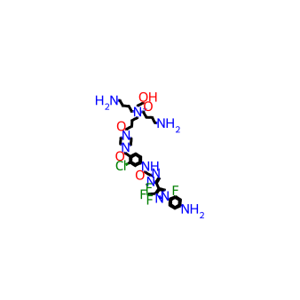 Cn1c(-c2cn(-c3ccc(N)cc3F)nc2C(F)(F)F)cnc1C(=O)Nc1ccc(C(=O)N2CCN(C(=O)CCC[N+](CCCCN)(CCCCN)CC(=O)O)CC2)c(Cl)c1